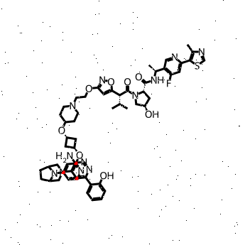 Cc1ncsc1-c1cc(F)c([C@H](C)NC(=O)[C@@H]2C[C@@H](O)CN2C(=O)[C@@H](c2cc(OCCN3CCC(O[C@H]4C[C@H](Oc5cc(N6C7CCC6CN(c6cc(-c8ccccc8O)nnc6N)C7)ccn5)C4)CC3)no2)C(C)C)cn1